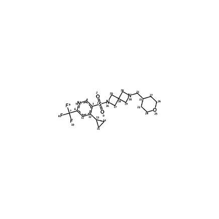 O=S(=O)(c1cnc(C(F)(F)F)cc1C1CC1)N1CC2(CN(CC3CCOCC3)C2)C1